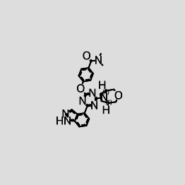 CN(C)C(=O)c1ccc(Oc2nc(-c3cccc4[nH]ncc34)nc(N3[C@@H]4CC[C@H]3COC4)n2)cc1